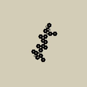 c1ccc(-c2ccc(N(c3ccc(-c4c(-c5ccccc5)ccc5c(-c6cc(-c7ccccc7)c(-c7ccc(N(c8ccc(-c9ccccc9)cc8)c8cc9ccccc9c9oc%10cccnc%10c89)cc7)c7ccccc67)cccc45)cc3)c3cccc4c3cnc3c5ccccc5oc43)cc2)cc1